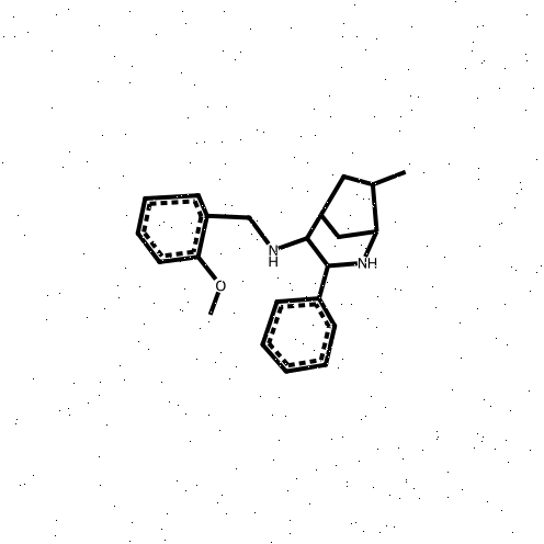 COc1ccccc1CNC1C2CC(C)C(C2)NC1c1ccccc1